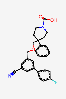 N#Cc1cc(COCC2(c3ccccc3)CCN(C(=O)O)CC2)cc(-c2ccc(F)cc2)c1